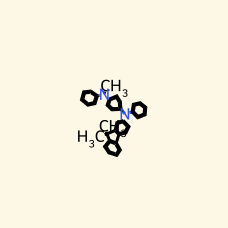 CN(c1ccccc1)c1ccc(N(c2ccccc2)c2ccc3c(c2)C(C)(C)c2ccccc2-3)cc1